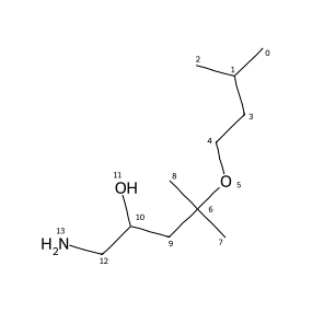 CC(C)CCOC(C)(C)CC(O)CN